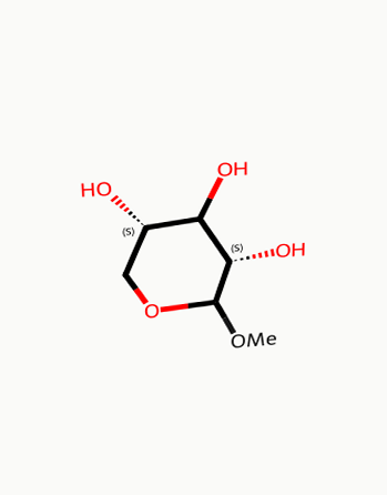 COC1OC[C@H](O)C(O)[C@@H]1O